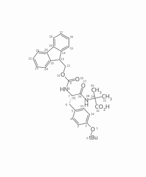 CC(C)(C)Oc1ccc(C[C@H](NC(=O)OCC2c3ccccc3-c3ccccc32)C(=O)NC(C)(C)C(=O)O)cc1